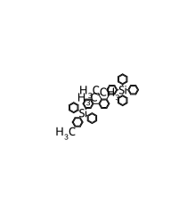 Cc1ccc([Si](c2ccccc2)(c2ccccc2)c2cccc(-c3cccc(-c4cccc([Si](c5ccccc5)(c5ccccc5)c5ccccc5)c4)c3C(C)(C)C)c2)cc1